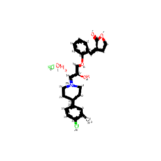 Cl.O.O=C1OCCC1=Cc1ccccc1OC[C@@H](O)CN1CCC(c2ccc(Cl)c(C(F)(F)F)c2)CC1